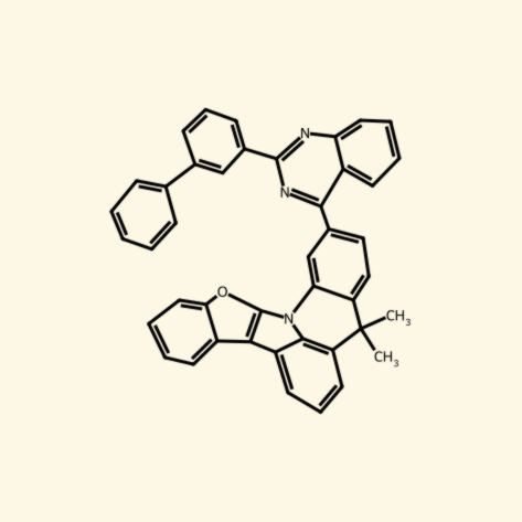 CC1(C)c2ccc(-c3nc(-c4cccc(-c5ccccc5)c4)nc4ccccc34)cc2-n2c3oc4ccccc4c3c3cccc1c32